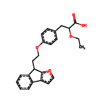 CCOC(Cc1ccc(OCCC2c3ccccc3-c3ccoc32)cc1)C(=O)O